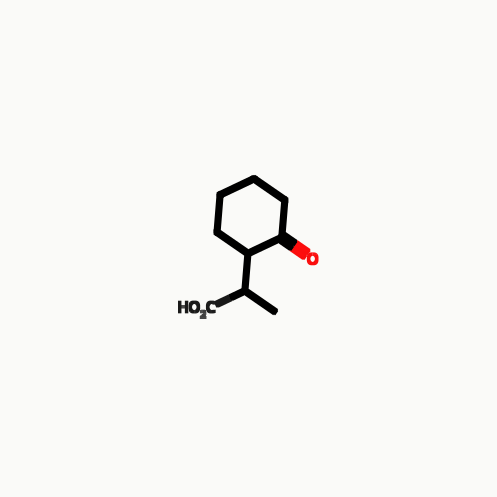 CC(C(=O)O)C1CCCCC1=O